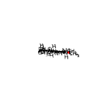 CCC(C)(C)NC(=O)CCCC(O)C(=O)NCCNC(=N)CCCCCCC(=N)NCCC(C)C